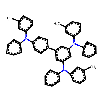 Cc1cccc(N(c2ccccc2)c2ccc(-c3cc(N(c4ccccc4)c4cccc(C)c4)cc(N(c4ccccc4)c4cccc(C)c4)c3)cc2)c1